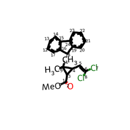 COC(=O)C1C(C=C(Cl)Cl)C1(C)C.c1ccc2c(c1)Cc1ccccc1-2